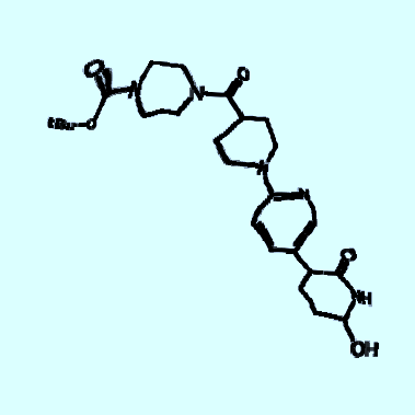 CC(C)(C)OC(=O)N1CCN(C(=O)C2CCN(c3ccc(C4CCC(O)NC4=O)cn3)CC2)CC1